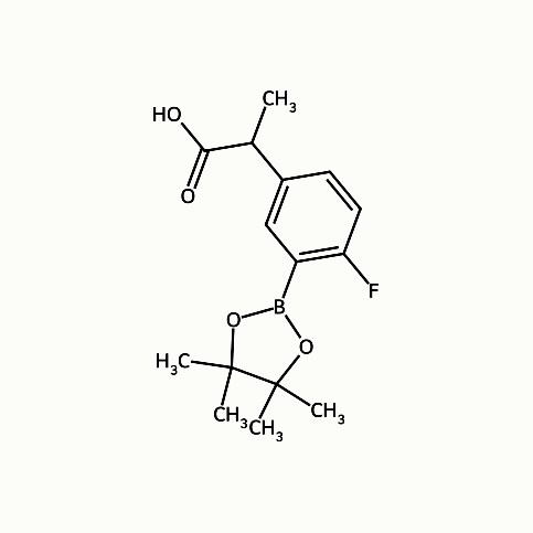 CC(C(=O)O)c1ccc(F)c(B2OC(C)(C)C(C)(C)O2)c1